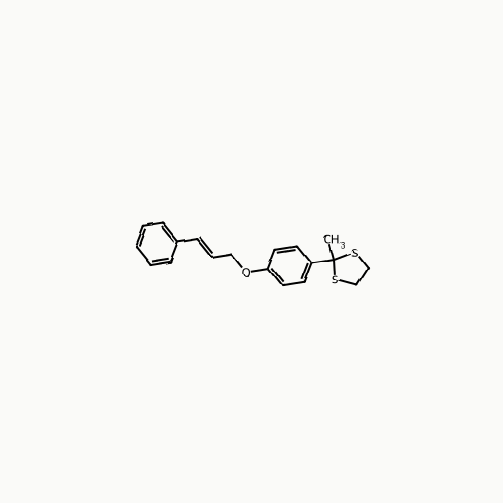 CC1(c2ccc(OC/C=C/c3ccccc3)cc2)SCCS1